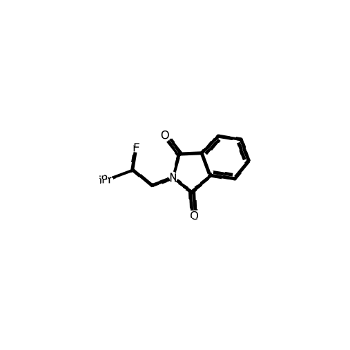 CC(C)C(F)CN1C(=O)c2ccccc2C1=O